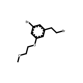 COCCOc1cc(Br)cc(CCBr)c1